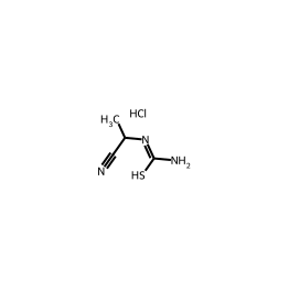 CC(C#N)N=C(N)S.Cl